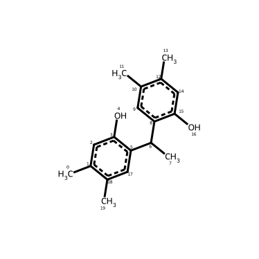 Cc1cc(O)c(C(C)c2cc(C)c(C)cc2O)cc1C